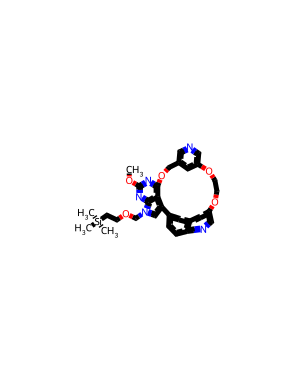 COc1nc2c3c(cn(COCC[Si](C)(C)C)c3n1)-c1ccc3ncc(cc3c1)OCCOc1cncc(c1)CO2